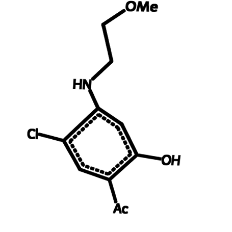 COCCNc1cc(O)c(C(C)=O)cc1Cl